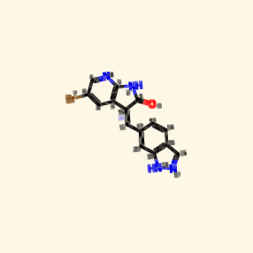 O=C1Nc2ncc(Br)cc2/C1=C/c1ccc2cn[nH]c2c1